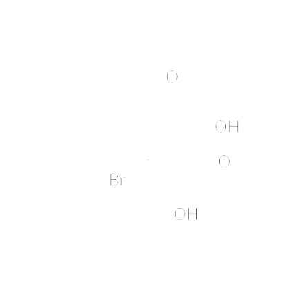 CC(C)CC(Br)(C(=O)O)C(=O)O